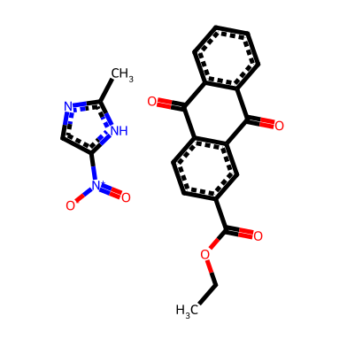 CCOC(=O)c1ccc2c(c1)C(=O)c1ccccc1C2=O.Cc1ncc([N+](=O)[O-])[nH]1